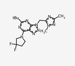 Cc1nc(Cn2nnc3c(N4CCC(F)(F)C4)nc(C(C)(C)C)nc32)n(C)n1